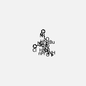 CCC[C@H](NC(=O)[C@@H]1C[C@]2(CC(c3cccc(Cl)c3)=NO2)CN1C(=O)[C@@H](NC(=O)CCn1ncc2ccccc21)C(C)(C)C)C(=O)C(=O)NC1CC1